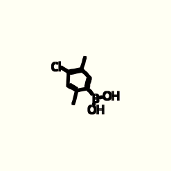 Cc1cc(B(O)O)c(C)cc1Cl